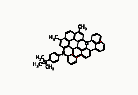 Cc1cc(N(c2ccccc2)c2ccc([Si](C)(C)C)cc2)c2c3ccccc3c3c(N(c4ccccc4)c4ccccc4-c4ccccc4)cc(C)c4ccc1c2c43